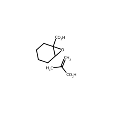 C=C(C)C(=O)O.O=C(O)C12CCCCC1O2